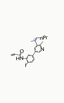 C#CC(=O)Nc1cc(-c2cnc(C)c(/C(C)=C\CCC)c2)ccc1I